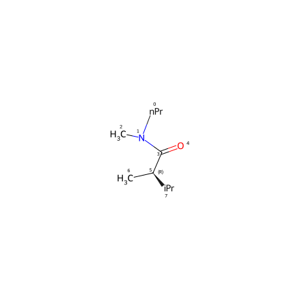 CCCN(C)C(=O)[C@H](C)C(C)C